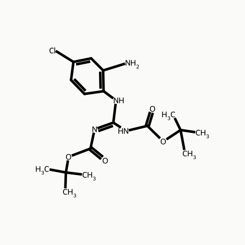 CC(C)(C)OC(=O)N=C(NC(=O)OC(C)(C)C)Nc1ccc(Cl)cc1N